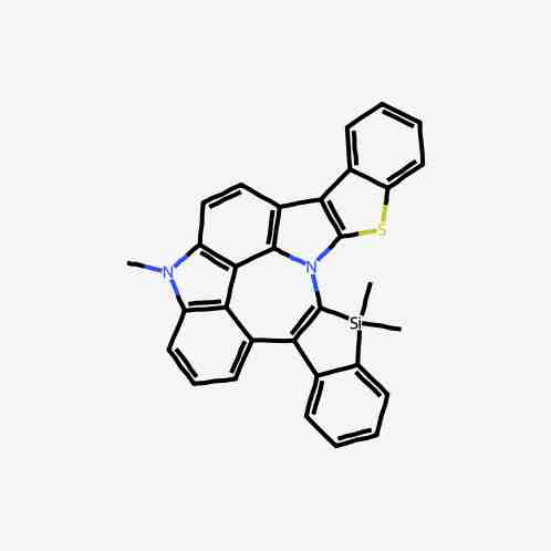 Cn1c2cccc3c4c(n5c6sc7ccccc7c6c6ccc1c(c32)c65)[Si](C)(C)c1ccccc1-4